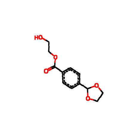 O=C(OCCO)c1ccc(C2OCCO2)cc1